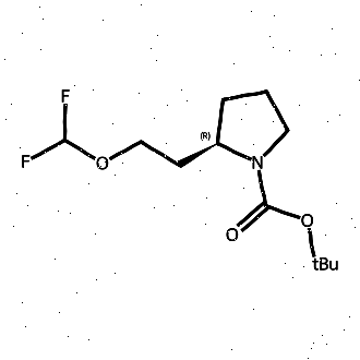 CC(C)(C)OC(=O)N1CCC[C@@H]1CCOC(F)F